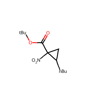 CCCCC1CC1(C(=O)OC(C)(C)C)[N+](=O)[O-]